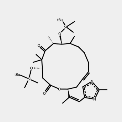 C/C(=C/c1csc(C)n1)[C@@H]1C/C=C\CCCC(C)[C@H](O[Si](C)(C)C(C)(C)C)[C@@H](C)C(=O)C(C)(C)[C@@H](O[Si](C)(C)C(C)(C)C)CC(=O)O1